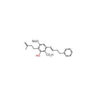 C=C(C)CCc1c(OC)cc(C=CCCc2ccccc2)c(C(=O)O)c1O